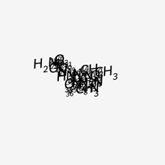 COc1ncnc(C2CC2)c1-c1nc(C)c2nc(NCc3ccc(S(N)(=O)=O)cn3)c(=O)n([C@@H](C)C3CC3)c2n1